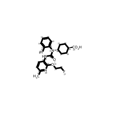 Cc1ccc(NC(=O)N(c2ccccc2C(C)C)[C@H]2CC[C@H](C(=O)O)CC2)c(OCCF)n1